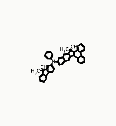 CC1(C)c2ccccc2-c2ccc(N(c3ccccc3)c3ccc4cc5c(cc4c3)C(C)(C)c3c-5c4ccccc4c4ccccc34)cc21